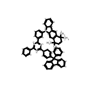 CC1(C)CCC(C)(C)c2cc3c(cc21)C1C=CC=CC1N3c1cccc(-c2nc(-c3ccccc3)nc(C3C=CC(C4(c5ccccc5)c5ccccc5-c5ccccc54)=CC3)n2)c1